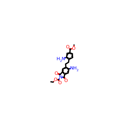 CCOC(=O)N1C(=O)c2cc(N)c(CCc3ccc(C(=O)OC)cc3N)cc2C1=O